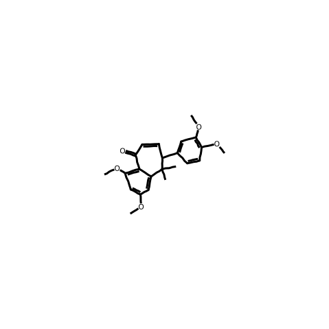 COc1cc(OC)c2c(c1)C(C)(C)C(c1ccc(OC)c(OC)c1)C=CC2=O